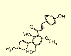 COc1cc(CO)c(C2=CCN(C)CC2)c(O)c1C(=O)/C=C/c1ccc(O)cc1